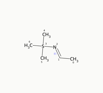 C/C=N/S(C)(C)C